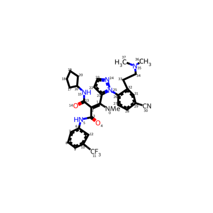 CN/C(=C(\C(=O)Nc1cccc(C(F)(F)F)c1)C(=O)NC1CCCC1)c1ccnn1-c1ccc(C#N)cc1CCN(C)C